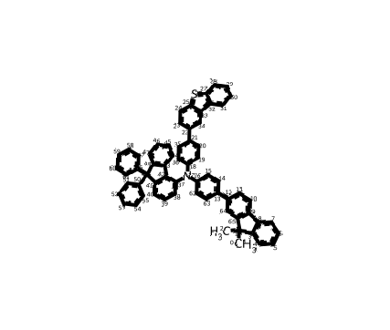 CC1(C)c2ccccc2-c2ccc(-c3ccc(N(c4ccc(-c5ccc6sc7ccccc7c6c5)cc4)c4cccc5c4-c4ccccc4C5(c4ccccc4)c4ccccc4)cc3)cc21